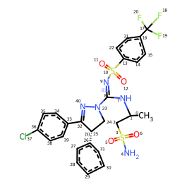 CC(CS(N)(=O)=O)N/C(=N\S(=O)(=O)c1ccc(C(F)(F)F)cc1)N1C[C@H](c2ccccc2)C(c2ccc(Cl)cc2)=N1